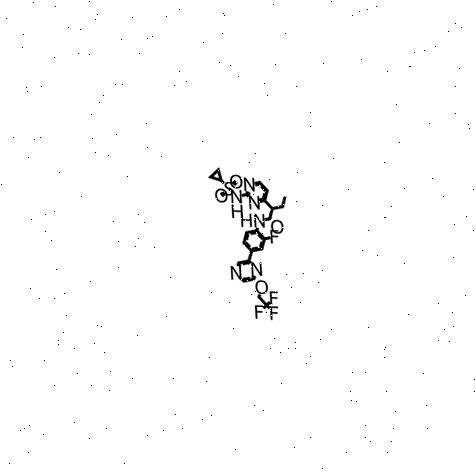 CCC(C(=O)Nc1ccc(-c2cncc(OCC(F)(F)F)n2)cc1F)c1ccnc(NS(=O)(=O)C2CC2)n1